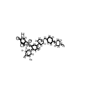 C[C@@H]1CN(c2cc(F)c(C3=CCN(Cc4ccc(N5CCN(C)CC5)cc4)CC3)cc2NC(=O)c2c[nH]c(=O)cc2C(F)(F)F)C[C@H](C)N1C